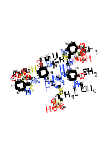 CCN(CC)c1cc(Nc2nc(Nc3cc(N(CC)CC)c(OC)cc3/N=N/c3snc4ccc(OC)c(S(=O)(=O)OS)c34)nc(SCCS(=O)(=O)O)n2)c(/N=N/c2snc3ccc(OC)c(S(=O)(=O)O)c23)cc1OC